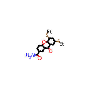 CCSc1cc(SCC)c2oc3ccc(C(N)=O)cc3c(=O)c2c1